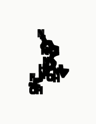 CC1(Nc2cc(-c3ccc4cc(C#N)cnn34)ncc2C(=O)NC[C@@H](F)C(C)(C)O)CC1